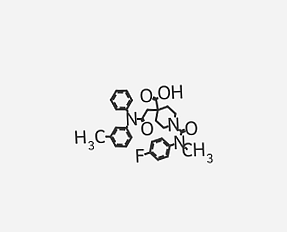 Cc1cccc(N(C(=O)CC2(C(=O)O)CCN(C(=O)N(C)c3ccc(F)cc3)CC2)c2ccccc2)c1